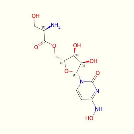 N[C@H](CO)C(=O)OC[C@H]1O[C@@H](n2ccc(NO)nc2=O)[C@H](O)[C@@H]1O